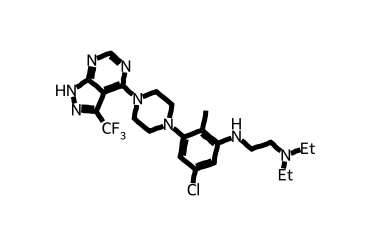 CCN(CC)CCNc1cc(Cl)cc(N2CCN(c3ncnc4[nH]nc(C(F)(F)F)c34)CC2)c1C